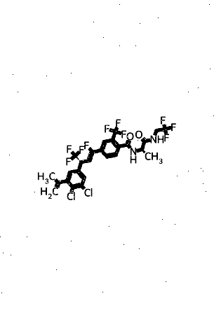 C=C(C)c1cc([C@@H](/C=C(\F)c2ccc(C(=O)N[C@H](C)C(=O)NCC(F)(F)F)c(C(F)(F)F)c2)C(F)(F)F)cc(Cl)c1Cl